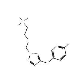 C[Si](C)(C)CCOCn1ncc(Nc2ccc(Cl)nc2)n1